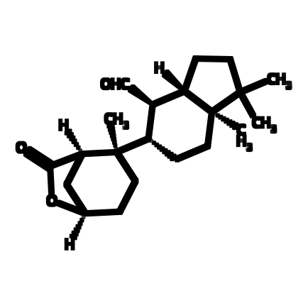 CC1(C)CC[C@H]2[C@H](C=O)[C@@H]([C@@]3(C)CC[C@@H]4C[C@H]3C(=O)O4)CC[C@@]21C